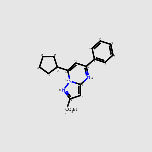 CCOC(=O)c1cc2nc(-c3ccccc3)cc(C3CCCC3)n2n1